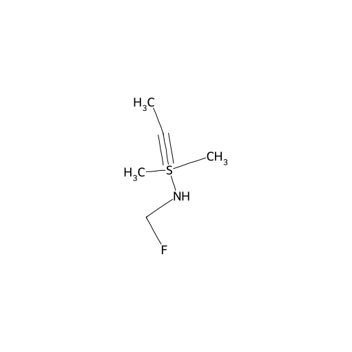 CC#S(C)(C)NCF